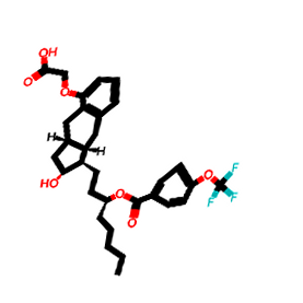 CCCCC[C@@H](CC[C@@H]1[C@H]2Cc3cccc(OCC(=O)O)c3C[C@H]2C[C@H]1O)OC(=O)c1ccc(OC(F)(F)F)cc1